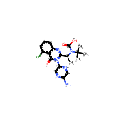 C[C@@H](c1nc2cccc(Cl)c2c(=O)n1-c1cnc(N)cn1)N(C(=O)O)C(C)(C)C